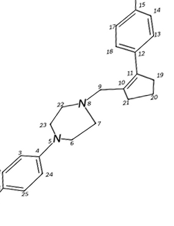 O=Cc1ccc(N2CCN(CC3=C(c4ccc(F)cc4)CCC3)CC2)cc1